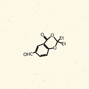 CCC1(CC)OC(=O)c2cc(C=O)ccc2O1